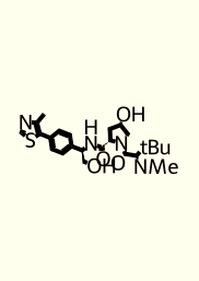 CN[C@H](C(=O)N1C[C@H](O)C[C@H]1C(=O)N[C@@H](CO)c1ccc(-c2scnc2C)cc1)C(C)(C)C